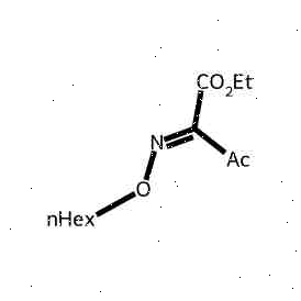 CCCCCCO/N=C(\C(C)=O)C(=O)OCC